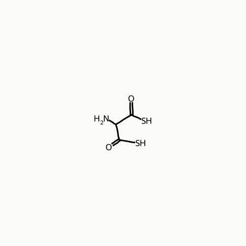 NC(C(=O)S)C(=O)S